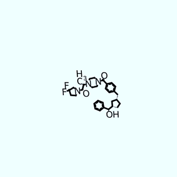 CC(C(=O)N1CCC(F)(F)C1)N1CCN(C(=O)c2ccc(C[C@@H]3CC[C@H]([C@H](O)c4ccccc4)C3)cc2)CC1